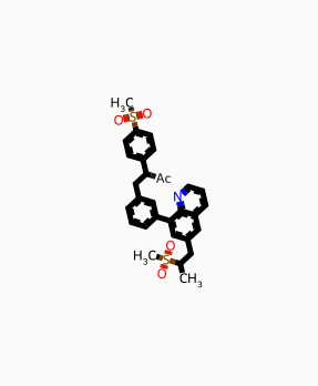 CC(=O)C(Cc1cccc(-c2cc(CC(C)S(C)(=O)=O)cc3cccnc23)c1)c1ccc(S(C)(=O)=O)cc1